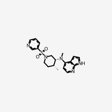 C[C@@H]1CCN(S(=O)(=O)c2cccnc2)C[C@@H]1N(C)c1ccnc2[nH]ccc12